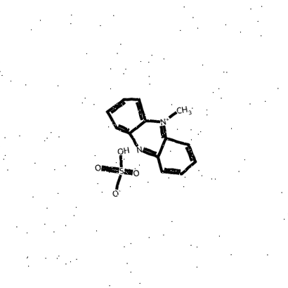 C[n+]1c2ccccc2nc2ccccc21.O=S(=O)([O-])O